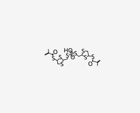 C=C(C)C(=O)SC1CSC(CSP(=O)(O)SCC2SCC(SC(=O)C(=C)C)S2)S1